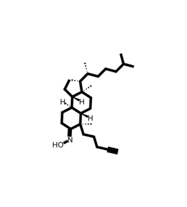 C#CCCC[C@@]1(C)/C(=N/O)CC[C@H]2[C@@H]3CC[C@H]([C@H](C)CCCC(C)C)[C@@]3(C)CC[C@@H]21